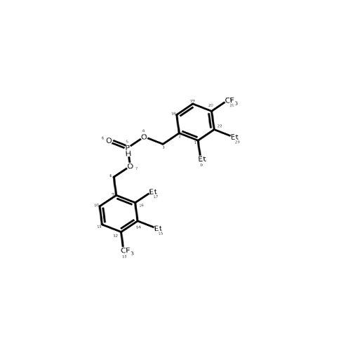 CCc1c(CO[PH](=O)OCc2ccc(C(F)(F)F)c(CC)c2CC)ccc(C(F)(F)F)c1CC